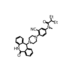 CCC(CC)C(=O)N(C)c1ccc(N2CCN(C3c4ccccc4NC(=O)c4ccccc43)CC2)c(C#N)c1